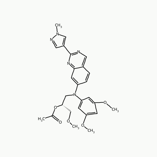 COC[C@@H](CN(c1cc(OC)cc(OC)c1)c1ccc2cnc(-c3cnn(C)c3)nc2c1)OC(C)=O